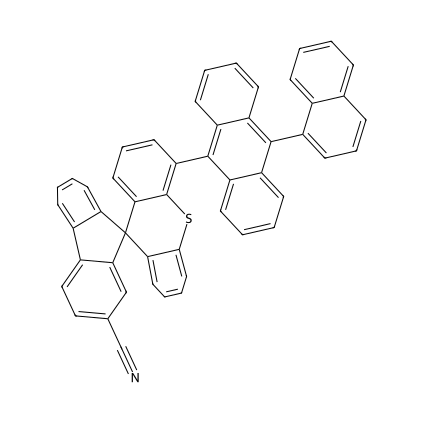 N#Cc1ccc2c(c1)C1(c3ccccc3Sc3c(-c4c5ccccc5c(-c5cccc6ccccc56)c5ccccc45)cccc31)c1ccccc1-2